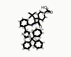 CC(C)(C)C1/C(=C\c2ccccc2-c2cn(C(c3ccccc3)(c3ccccc3)c3ccccc3)cn2)C(=O)C12CCN(C(=O)O)CC2